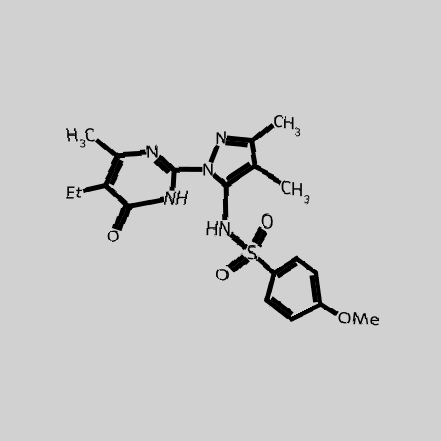 CCc1c(C)nc(-n2nc(C)c(C)c2NS(=O)(=O)c2ccc(OC)cc2)[nH]c1=O